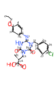 CCOc1ccc(/N=c2\[nH]c(=O)n(C[C@H](C)C(=O)O)c(=O)n2Cc2ccc(Cl)cc2)cc1